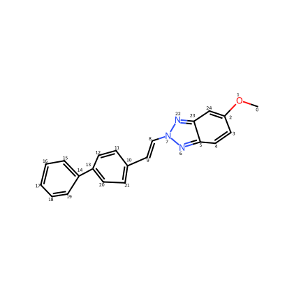 COc1ccc2nn(/C=C/c3ccc(-c4ccccc4)cc3)nc2c1